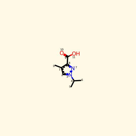 Cc1cn(C(C)C)nc1C(=O)O